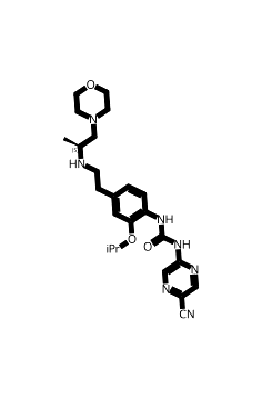 CC(C)Oc1cc(CCN[C@@H](C)CN2CCOCC2)ccc1NC(=O)Nc1cnc(C#N)cn1